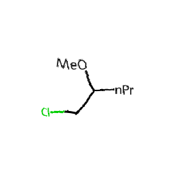 CCCC(CCl)OC